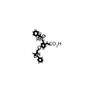 Cc1oc(-c2ccccc2)nc1CCOc1ccc(CCC(=O)O)c(CNC(=O)C(C)(C)c2ccccc2)c1